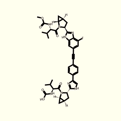 COC(=O)N[C@H](C(=O)N1[C@@H]2C[C@H]2C[C@H]1c1nc2c(F)cc(C#Cc3ccc(-c4c[nH]c([C@@H]5C[C@H]6C[C@H]6N5C(=O)[C@@H](NC(=O)O)C(C)C)n4)cc3)cc2[nH]1)C(C)C